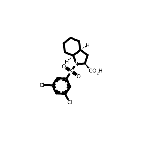 O=C(O)[C@@H]1C[C@@H]2CCCC[C@@H]2N1S(=O)(=O)c1cc(Cl)cc(Cl)c1